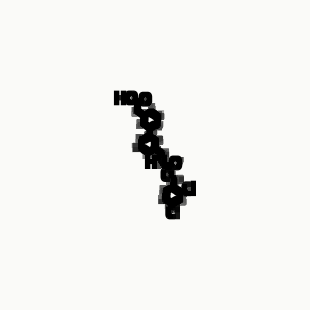 O=C(O)Cc1cccc(-c2cccc(CNC(=O)OCc3ccc(Cl)cc3Cl)c2)c1